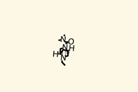 CCN1C[C@@H]2C[C@H]1CN2C(=O)N(C)C